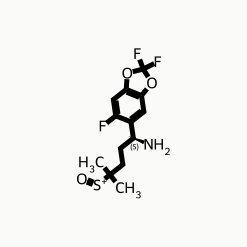 CC(C)(CC[C@H](N)c1cc2c(cc1F)OC(F)(F)O2)[S+]=O